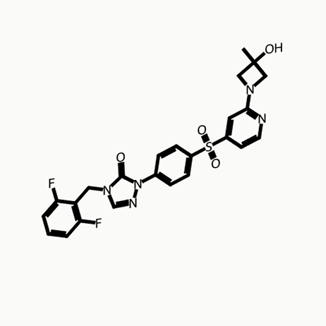 CC1(O)CN(c2cc(S(=O)(=O)c3ccc(-n4ncn(Cc5c(F)cccc5F)c4=O)cc3)ccn2)C1